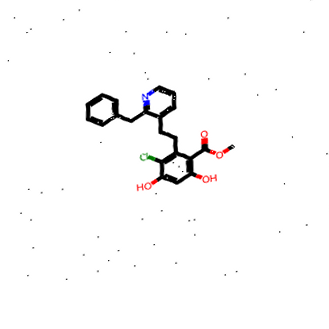 COC(=O)c1c(O)cc(O)c(Cl)c1CCc1cccnc1Cc1ccccc1